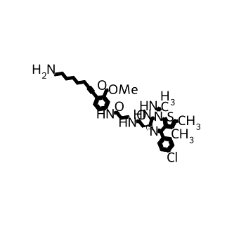 COC(=O)c1cc(NC(=O)CCNC(=O)C[C@@H]2N=C(c3ccc(Cl)cc3)c3c(sc(C)c3C)N(C(C)=N)C2=N)ccc1C#CCCCCCCN